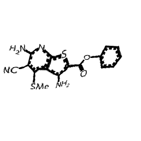 CSc1c(C#N)c(N)nc2sc(C(=O)Oc3ccccc3)c(N)c12